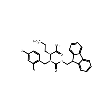 NC(=O)[C@H](CCC(=O)O)N(Cc1ccc(Cl)cc1Cl)C(=O)OCC1c2ccccc2-c2ccccc21